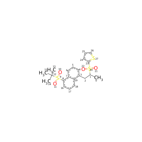 CC(Cc1cccc2c(S(=O)(=O)C(C)(C)C)cccc12)S(=O)(=O)c1cccs1